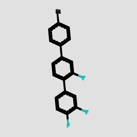 CCc1ccc(-c2ccc(-c3ccc(F)c(F)c3)c(F)c2)cc1